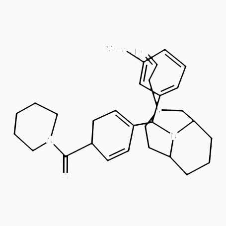 C=CCN1CCC2CCCC(C1)N2C(C1=CCC(C(=O)N2CCCCC2)C=C1)c1cccc(OC)c1